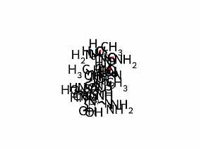 CSCCC(NC(=O)[C@H](CCCNC(=N)N)NC(=O)C(CCC(=O)O)NC(=O)[C@@H](NC(=O)CCCN[C@@H](CC(C)C)C(=O)C(=O)[C@H](Cc1cnc[nH]1)NC(=O)C(CC(N)=O)NC(=O)[C@H](CC(C)C)NC(=O)CNN)[C@@H](C)O)C(=O)N[C@@H](C)C=O